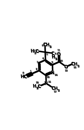 C#Cc1cc(C(C)(C)C)c(C(=O)OC)nc1N(C)C